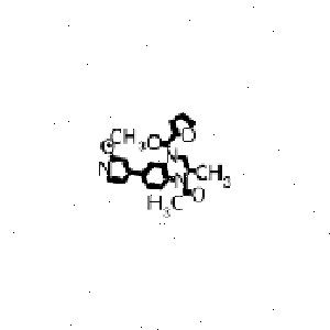 COc1cc(-c2ccc3c(c2)N(C(=O)c2ccco2)CC(C)N3C(C)=O)ccn1